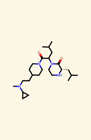 CC(C)CC(C(=O)N1CCC(CCN(C)C2CC2)CC1)N1CCN[C@@H](CC(C)C)C1=O